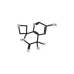 CCC1(CC)C(=O)NC2(COC2)c2ncc(C#N)cc21